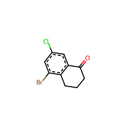 O=C1CCCc2c(Br)cc(Cl)cc21